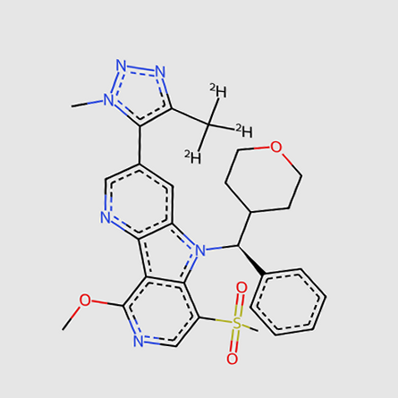 [2H]C([2H])([2H])c1nnn(C)c1-c1cnc2c3c(OC)ncc(S(C)(=O)=O)c3n([C@H](c3ccccc3)C3CCOCC3)c2c1